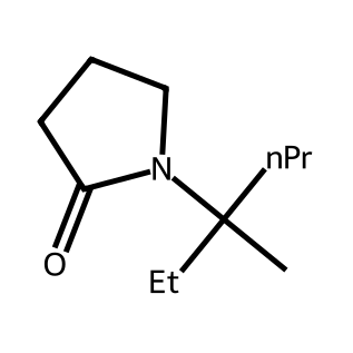 CCCC(C)(CC)N1CCCC1=O